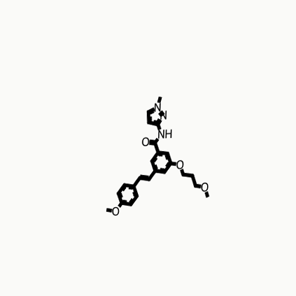 COCCCOc1cc(/C=C/c2ccc(OC)cc2)cc(C(=O)Nc2ccn(C)n2)c1